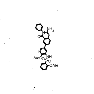 COc1ccccc1S(=O)(=O)Nc1cc(-c2ccc3nc(N)n(-c4ccccc4)c(=O)c3c2)cnc1OC